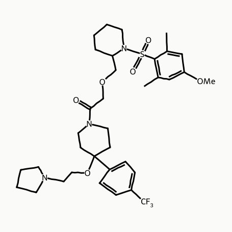 COc1cc(C)c(S(=O)(=O)N2CCCCC2COCC(=O)N2CCC(OCCN3CCCC3)(c3ccc(C(F)(F)F)cc3)CC2)c(C)c1